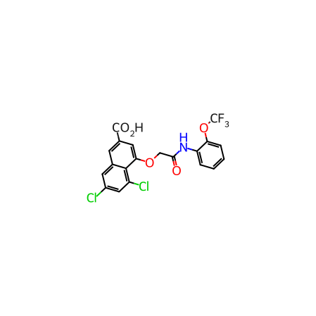 O=C(COc1cc(C(=O)O)cc2cc(Cl)cc(Cl)c12)Nc1ccccc1OC(F)(F)F